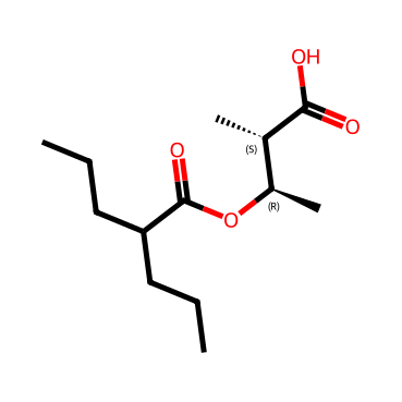 CCCC(CCC)C(=O)O[C@H](C)[C@H](C)C(=O)O